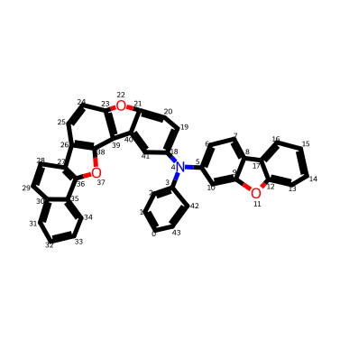 c1ccc(N(c2ccc3c(c2)oc2ccccc23)c2ccc3oc4ccc5c6ccc7ccccc7c6oc5c4c3c2)cc1